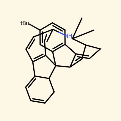 CC(C)(C)c1ccc2c(c1)C13C4=CC(CC=C42)C(C)(C)Nc2ccc(c1c2)C1=CC=CCC13